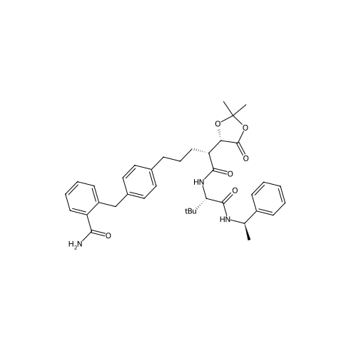 C[C@@H](NC(=O)[C@@H](NC(=O)[C@H](CCCc1ccc(Cc2ccccc2C(N)=O)cc1)[C@@H]1OC(C)(C)OC1=O)C(C)(C)C)c1ccccc1